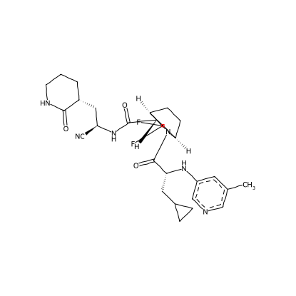 Cc1cncc(N[C@H](CC2CC2)C(=O)N2[C@@H]3CC[C@H]([C@H]2C(=O)N[C@@H](C#N)C[C@H]2CCCNC2=O)C(F)(F)C3)c1